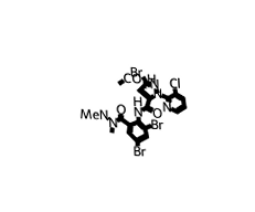 CC(=O)O.CNN(C)C(=O)c1cc(Br)cc(Br)c1NC(=O)c1cc(Br)nn1-c1ncccc1Cl